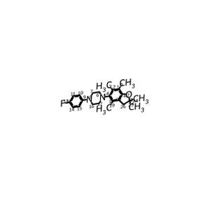 Cc1c(C)c(N2CCN(c3ccc(F)cc3)CC2)c(C)c2c1OC(C)(C)C2